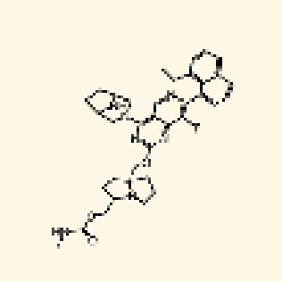 CCc1cccc2cccc(-c3ncc4c(N5CC6CCC(C5)N6)nc(OC[C@]56CCCN5[C@@H](COC(=O)NC)CC6)nc4c3F)c12